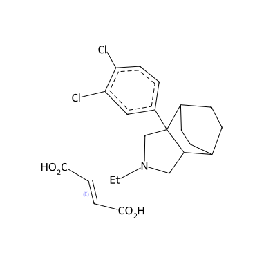 CCN1CC2C3CCC(CC3)C2(c2ccc(Cl)c(Cl)c2)C1.O=C(O)/C=C/C(=O)O